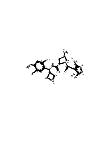 Cc1cc(F)c([C@H](NC(=O)[C@H]2C[C@@H](C)CN2C(=O)c2c(C)noc2C)C2COC2)cc1F